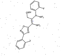 COC/C(=C(/N)c1nc(-c2ccccc2F)no1)N(N)c1ccccc1F